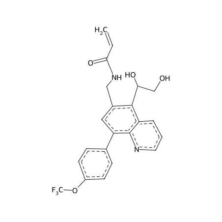 C=CC(=O)NCc1cc(-c2ccc(OC(F)(F)F)cc2)c2ncccc2c1C(O)CO